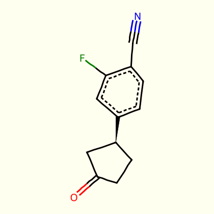 N#Cc1ccc([C@H]2CCC(=O)C2)cc1F